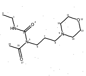 CCNC(=O)N(CCCN1CCOCC1)C(C)=O